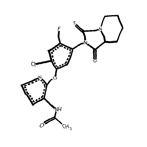 CC(=O)Nc1cccnc1Oc1cc(N2C(=O)C3CCCCN3C2=S)c(F)cc1Cl